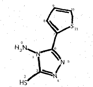 Nn1c(S)nnc1-c1cccs1